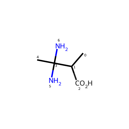 CC(C(=O)O)C(C)(N)N